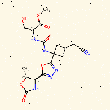 COC(=O)[C@H](CO)NC(=O)NC1(c2nnc([C@H]3NC(=O)O[C@@H]3C)o2)CC(CC#N)C1